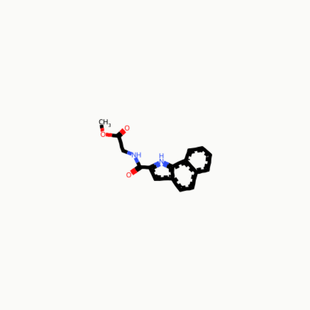 COC(=O)CNC(=O)c1cc2ccc3ccccc3c2[nH]1